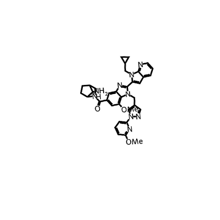 COc1cccc(-n2cc(Cn3c(-c4cc5cccnc5n4CC4CC4)nc4cc(C(=O)N5CC6CCC5[C@@H]6N)cc(OC)c43)cn2)n1